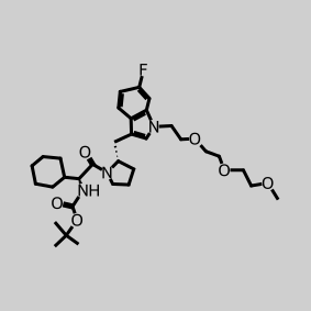 COCCOCCOCCn1cc(C[C@@H]2CCCN2C(=O)[C@@H](NC(=O)OC(C)(C)C)C2CCCCC2)c2ccc(F)cc21